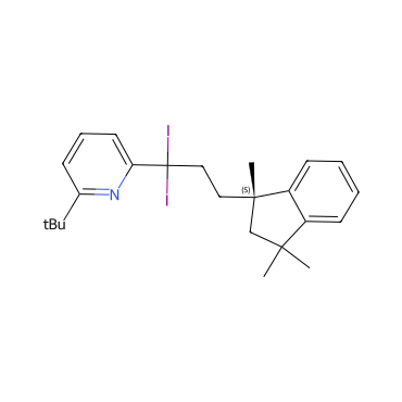 CC(C)(C)c1cccc(C(I)(I)CC[C@@]2(C)CC(C)(C)c3ccccc32)n1